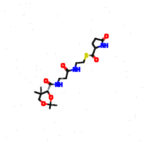 CC1(C)OCC(C)(C)[C@H](C(=O)NCCC(=O)NCCSC(=O)C2CCC(=O)N2)O1